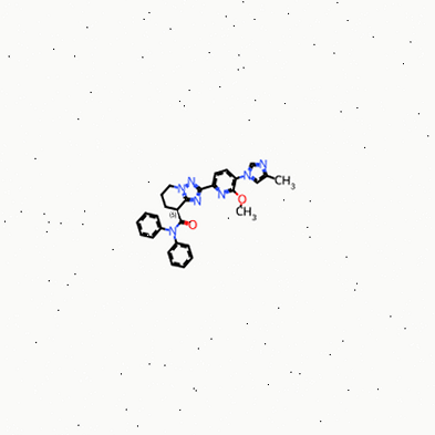 COc1nc(-c2nc3n(n2)CCC[C@@H]3C(=O)N(c2ccccc2)c2ccccc2)ccc1-n1cnc(C)c1